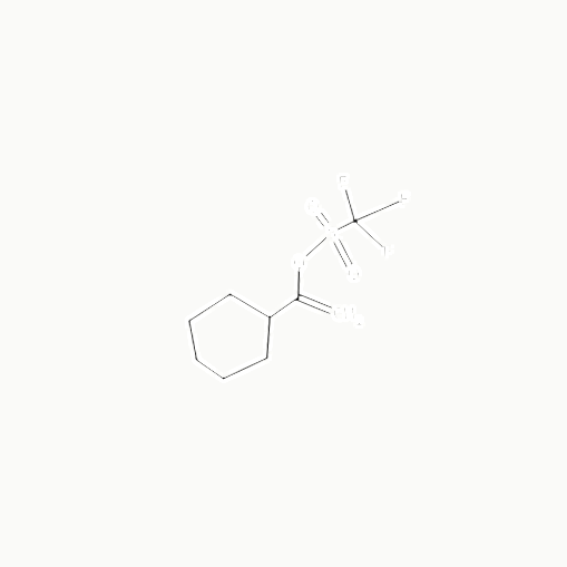 C=C(OS(=O)(=O)C(F)(F)F)C1CCCCC1